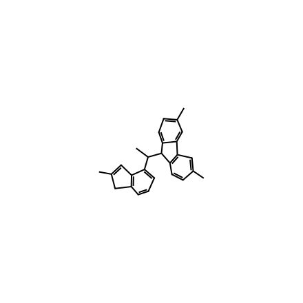 CC1=Cc2c(cccc2C(C)C2c3ccc(C)cc3-c3cc(C)ccc32)C1